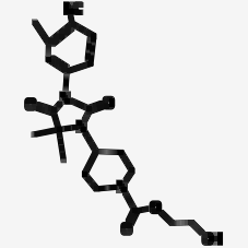 [C-]#[N+]c1ccc(N2C(=O)N(C3CCN(C(=O)OCCO)CC3)C(C)(C)C2=O)cc1C